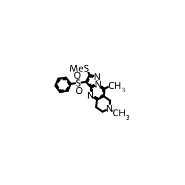 CSc1nn2c(C)c3c(nc2c1S(=O)(=O)c1ccccc1)CCN(C)C3